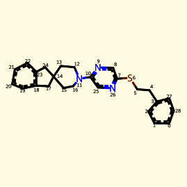 c1ccc(CCSc2cnc(N3CCC4(CC3)Cc3ccccc3C4)cn2)cc1